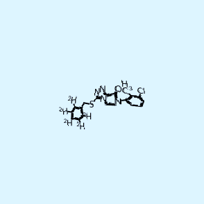 [2H]c1c([2H])c([2H])c(CSc2nnc3c(=O)n(-c4cccc(Cl)c4C)ccn23)c([2H])c1[2H]